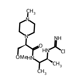 COC[C@H](C(=O)NC(C)[C@H](C)NC(=N)Cl)N1CCN(C)CC1